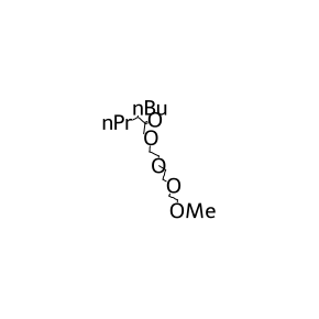 CCCCC(CCC)C(=O)COCCOCCOCCOC